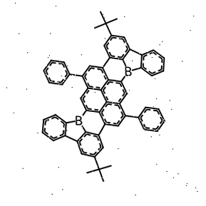 CC(C)(C)c1cc2c3c(c1)-c1cc(-c4ccccc4)c4cc5c6c(cc(-c7ccccc7)c7cc(c1c4c76)B3c1ccccc1-2)-c1cc(C(C)(C)C)cc2c1B5c1ccccc1-2